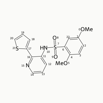 COc1ccc(OC)c(S(=O)(=O)Nc2cccnc2-c2cccs2)c1